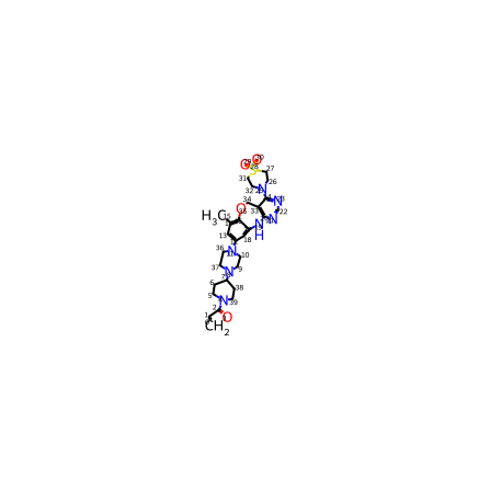 C=CC(=O)N1CCC(N2CCN(c3cc(C)c4c(c3)Nc3ncnc(N5CCS(=O)(=O)CC5)c3CO4)CC2)CC1